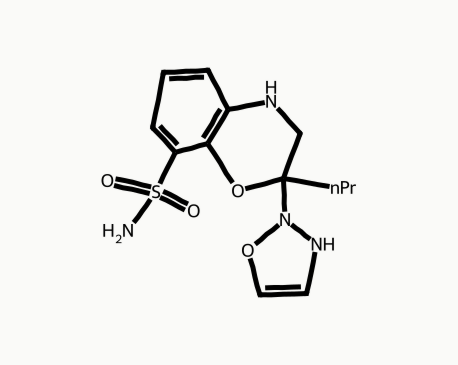 CCCC1(N2NC=CO2)CNc2cccc(S(N)(=O)=O)c2O1